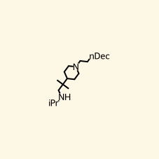 CCCCCCCCCCCCN1CCC(C(C)(C)CNC(C)C)CC1